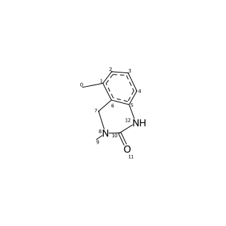 Cc1cccc2c1CN(C)C(=O)N2